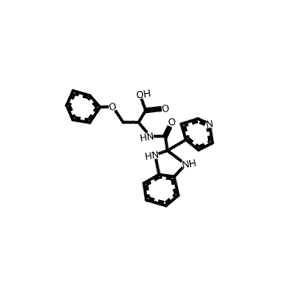 O=C(O)C(COc1ccccc1)NC(=O)C1(c2ccncc2)Nc2ccccc2N1